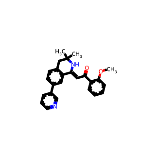 COc1ccccc1C(=O)C=C1NC(C)(C)Cc2ccc(-c3cccnc3)cc21